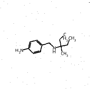 CCC(C)(CC)NCc1ccc(N)cc1